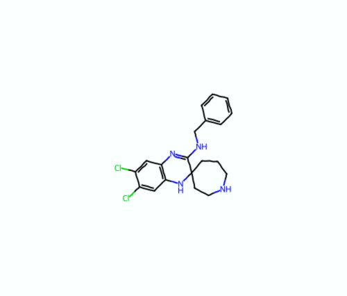 Clc1cc2c(cc1Cl)NC1(CCCNCC1)C(NCc1ccccc1)=N2